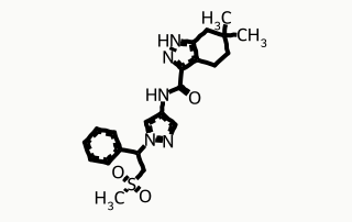 CC1(C)CCc2c(C(=O)Nc3cnn(C(CS(C)(=O)=O)c4ccccc4)c3)n[nH]c2C1